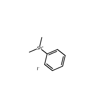 [CH3][Sn+]([CH3])[c]1ccccc1.[I-]